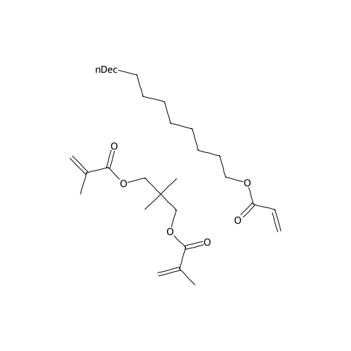 C=C(C)C(=O)OCC(C)(C)COC(=O)C(=C)C.C=CC(=O)OCCCCCCCCCCCCCCCCCC